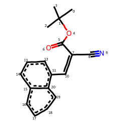 CC(C)(C)OC(=O)/C(C#N)=C\c1cccc2ccccc12